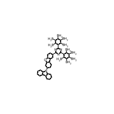 Bc1c(B)c(B)c(-c2nc(-c3ccc4oc5cc(-n6c7ccccc7c7ccccc76)ccc5c4c3)nc(-c3c(B)c(B)c(B)c(B)c3B)n2)c(B)c1B